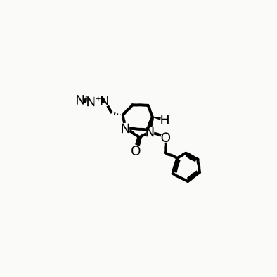 [N-]=[N+]=NC[C@@H]1CC[C@H]2CN1C(=O)N2OCc1ccccc1